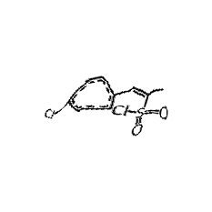 CC(=Cc1ccc(Cl)cc1)S(=O)(=O)Cl